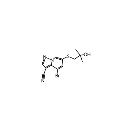 CC(C)(O)CSc1cc(Br)c2c(C#N)cnn2c1